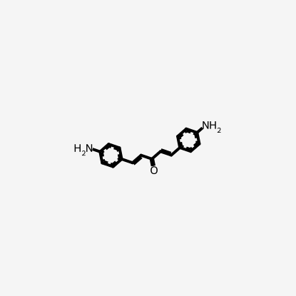 Nc1ccc(/C=C/C(=O)/C=C/c2ccc(N)cc2)cc1